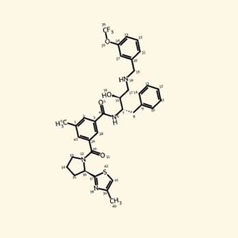 Cc1cc(C(=O)N[C@@H](Cc2ccccc2)[C@@H](O)CNCc2cccc(OC(F)(F)F)c2)cc(C(=O)N2CCC[C@@H]2c2nc(C)cs2)c1